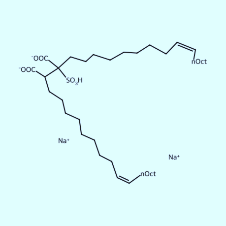 CCCCCCCC/C=C\CCCCCCCCC(C(=O)[O-])C(CCCCCCCC/C=C\CCCCCCCC)(C(=O)[O-])S(=O)(=O)O.[Na+].[Na+]